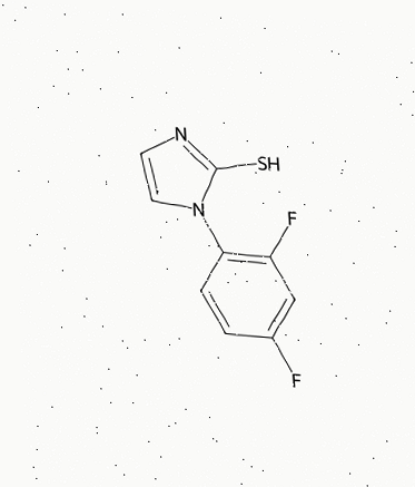 Fc1ccc(-n2ccnc2S)c(F)c1